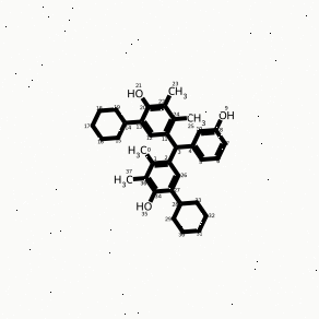 Cc1c(C(c2cccc(O)c2)c2cc(C3CCCCC3)c(O)c(C)c2C)cc(C2CCCCC2)c(O)c1C